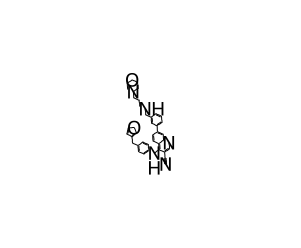 N#Cc1cnc2cc(-c3cccc(CNCCCN4CCOCC4)c3)ccc2c1Nc1ccc(Cc2ccoc2)cc1